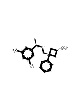 C[C@@H](OC[C@]1(c2ccccc2)C[C@@H](C(=O)O)C1)c1cc(C(F)(F)F)cc(C(F)(F)F)c1